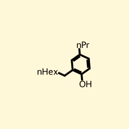 CCCCCCCc1cc(CCC)ccc1O